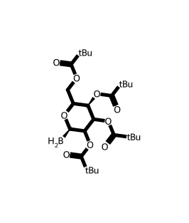 B[C@H]1OC(COC(=O)C(C)(C)C)[C@@H](OC(=O)C(C)(C)C)C(OC(=O)C(C)(C)C)C1OC(=O)C(C)(C)C